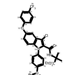 CCOC(=O)C(C)(C)NC(=O)c1c(Cl)c2cc(Oc3ccc(C(F)(F)F)cc3)ccc2n1-c1ccc(OC(C)C)cc1